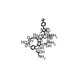 Cc1nc(-c2ccc(C(C)(C)C)cc2)nc(N)c1C(=O)N[C@@H](CCNS(N)(=O)=O)C(=O)N(C)[C@@H]1C(=O)N[C@@H](C)C(=O)N[C@H](C(=O)O)Cc2ccc(OC[C@H](O)CN)c(c2)-c2cc1cc(OC[C@H](O)CN)c2O